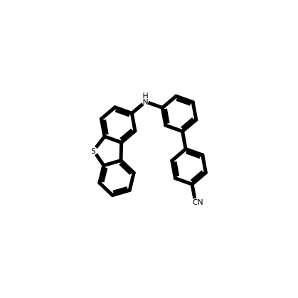 N#Cc1ccc(-c2cccc(Nc3ccc4sc5ccccc5c4c3)c2)cc1